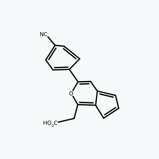 N#Cc1ccc(-c2cc3cccc-3c(CC(=O)O)o2)cc1